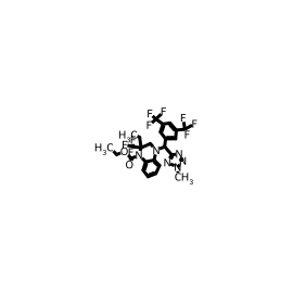 CCOC(=O)N1c2ccccc2N(C(c2cc(C(F)(F)F)cc(C(F)(F)F)c2)c2nnn(C)n2)CC1(CC)C(F)(F)F